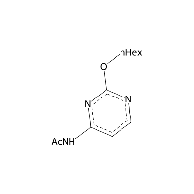 CCCCCCOc1nccc(NC(C)=O)n1